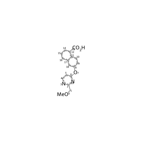 COCc1nccc(Oc2ccc3c(C(=O)O)cccc3c2)n1